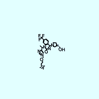 CC(c1cn(COCC[Si](C)(C)C)cn1)n1c(=O)nc(N2CC[C@H](CO)C2)c2ccc(C(F)(F)F)cc21